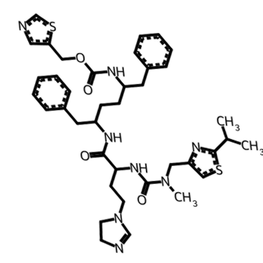 CC(C)c1nc(CN(C)C(=O)NC(CCN2C=NCC2)C(=O)NC(CCC(Cc2ccccc2)NC(=O)OCc2cncs2)Cc2ccccc2)cs1